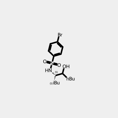 CCCCC(O)[C@@H](NS(=O)(=O)c1ccc(Br)cc1)[C@@H](C)CC